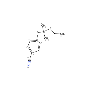 CCCC(C)(C)Cc1ccc(C#N)cc1